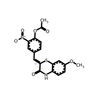 COc1ccc2c(c1)S/C(=C\c1ccc(OC(C)=O)c([N+](=O)[O-])c1)C(=O)N2